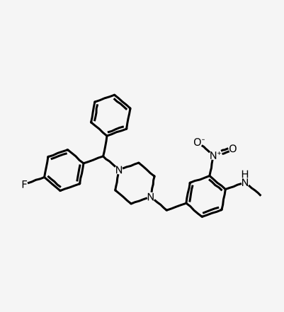 CNc1ccc(CN2CCN(C(c3ccccc3)c3ccc(F)cc3)CC2)cc1[N+](=O)[O-]